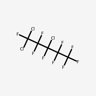 FC(F)(F)C(F)(F)C(F)(Cl)C(F)(F)C(F)(Cl)Cl